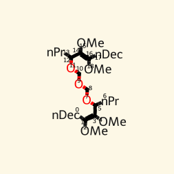 CCCCCCCCCCC(OC)=C(OC)C(CCC)OCOCOC(CCC)C(OC)=C(CCCCCCCCCC)OC